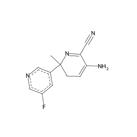 CC1(c2cncc(F)c2)CC=C(N)C(C#N)=N1